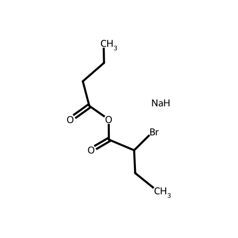 CCCC(=O)OC(=O)C(Br)CC.[NaH]